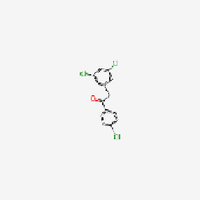 O=C(Cc1cc(Cl)cc(Cl)c1)c1ccc(Cl)cc1